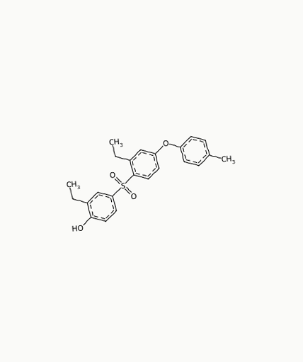 CCc1cc(S(=O)(=O)c2ccc(Oc3ccc(C)cc3)cc2CC)ccc1O